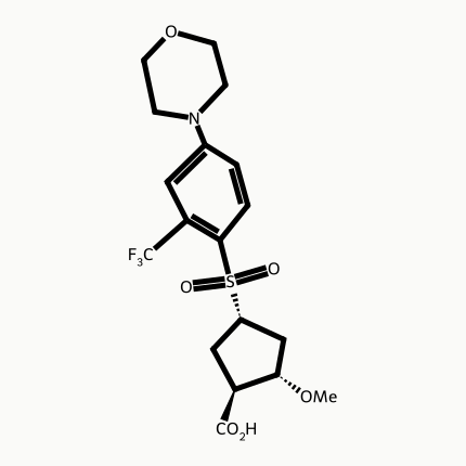 CO[C@H]1C[C@@H](S(=O)(=O)c2ccc(N3CCOCC3)cc2C(F)(F)F)C[C@@H]1C(=O)O